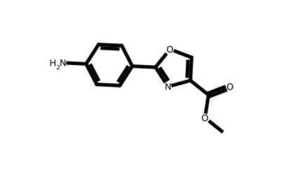 COC(=O)c1coc(-c2ccc(N)cc2)n1